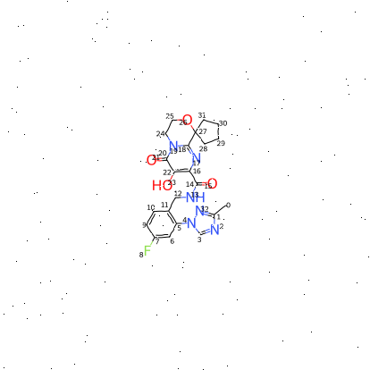 Cc1ncn(-c2cc(F)ccc2CNC(=O)c2nc3n(c(=O)c2O)CCOC32CCCC2)n1